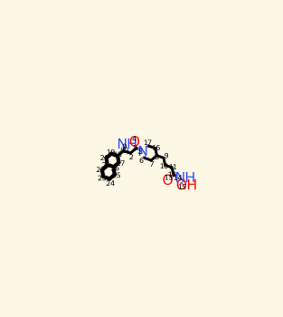 N[C@@H](CC(=O)N1CCC(CCCC(=O)NO)CC1)c1ccc2ccccc2c1